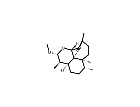 CO[C@@H]1O[C@@H]2OC3(C)CC[C@H]4[C@H](C)CC[C@@H]([C@H]1C)[C@@]24OO3